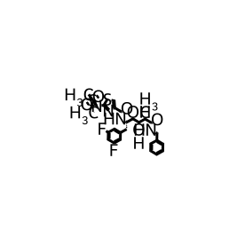 C[C@@H](C(=O)NCc1ccccc1)[C@@H](O)[C@H](O)[C@H](Cc1cc(F)cc(F)c1)NC(=O)c1csc(N(C)S(C)(=O)=O)n1